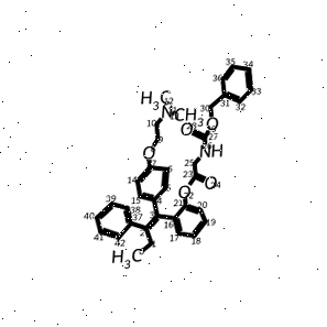 CCC(=C(c1ccc(OCCN(C)C)cc1)c1ccccc1OC(=O)CNC(=O)OCc1ccccc1)c1ccccc1